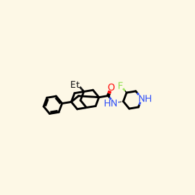 CCC12CC3CC(C(=O)N[C@H]4CCNC[C@@H]4F)(C1)CC(c1ccccc1)(C3)C2